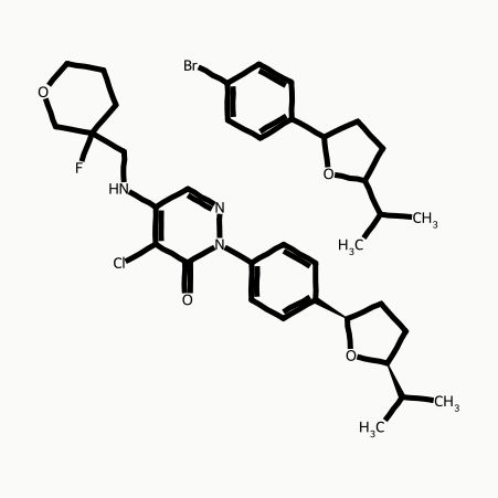 CC(C)C1CCC(c2ccc(Br)cc2)O1.CC(C)[C@@H]1CC[C@H](c2ccc(-n3ncc(NCC4(F)CCCOC4)c(Cl)c3=O)cc2)O1